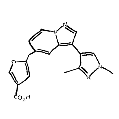 Cc1nn(C)cc1-c1cnn2ccc(-c3cc(C(=O)O)co3)cc12